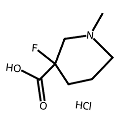 CN1CCCC(F)(C(=O)O)C1.Cl